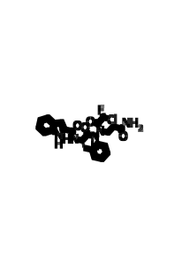 NC(=O)CCN(NC(=O)[C@H](Cc1ccccc1)NC(=O)c1cc2ccccc2[nH]1)C(=O)C(F)Cl